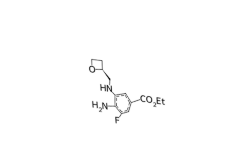 CCOC(=O)c1cc(F)c(N)c(NC[C@@H]2CCO2)c1